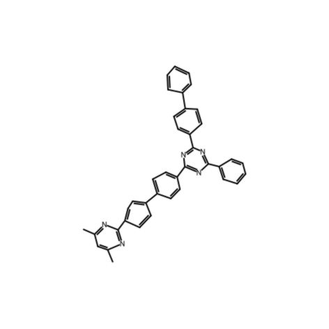 Cc1cc(C)nc(-c2ccc(-c3ccc(-c4nc(-c5ccccc5)nc(-c5ccc(-c6ccccc6)cc5)n4)cc3)cc2)n1